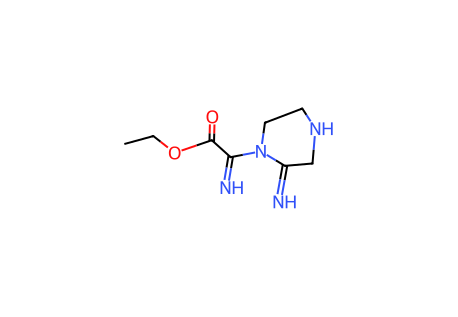 CCOC(=O)C(=N)N1CCNCC1=N